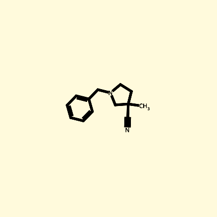 CC1(C#N)CCN(Cc2ccccc2)C1